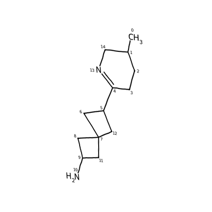 CC1CCC(C2CC3(CC(N)C3)C2)=NC1